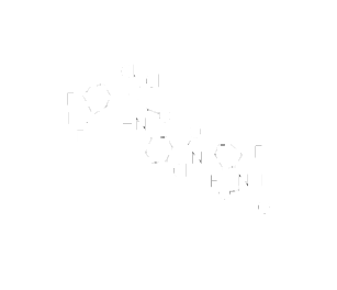 CN(C(=O)c1cc(NC(=O)[C@H]2[C@H](c3ccc(F)c(C(F)(F)F)c3)C2(Cl)Cl)ccc1Cl)c1ccc(F)c(NC(=O)C2CCCO2)c1F